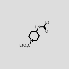 [CH2]CC(=O)NC1CCN(C(=O)OCC)CC1